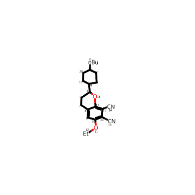 CCCCC1CCC(C2CCc3cc(OCC)c(C#N)c(C#N)c3O2)CC1